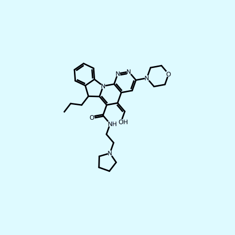 CCCC1C2=C(C(=O)NCCN3CCCC3)/C(=C\O)c3cc(N4CCOCC4)nnc3N2c2ccccc21